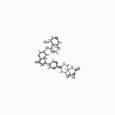 N[C@@H](Oc1ccc2[nH]nc(-c3cnc(N4CCC5(CC4)CC(=O)NC5=O)nc3)c2c1)c1c(Cl)cncc1Cl